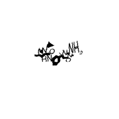 Cc1cc(C(=O)Nc2cccc([C@]3(C)CC(=O)N(C)C(N)=N3)c2)n(C2CC2)n1